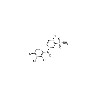 NS(=O)(=O)c1cc(C(=O)c2ccc([O])c(Cl)c2Cl)ccc1Cl